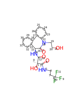 C[C@@](O)(C(=O)NCCC(F)(F)F)C(=O)N[C@@H]1C(=O)N(CCO)c2ccccc2-c2ccccc21